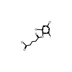 O=C(Cl)CCCC(=O)Oc1c(Cl)cc(Cl)cc1I